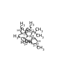 C=C(C)C(=C(C)C)C(/C(C(=C)C)=C(C)/C(C)=C\C)c1ccc(C)cc1N